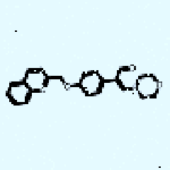 O=CC(=CN1CCOCC1)c1ccc(OCc2ccc3ccccc3n2)cc1